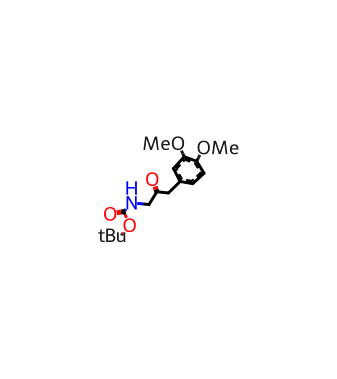 COc1ccc(CC(=O)CNC(=O)OC(C)(C)C)cc1OC